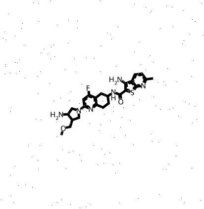 COCC1CN(c2cc(F)c3c(n2)CCC(NC(=O)c2sc4nc(C)ccc4c2N)C3)CC1N